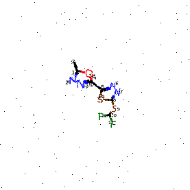 Cc1nnc(-c2nnc(SC(F)F)s2)o1